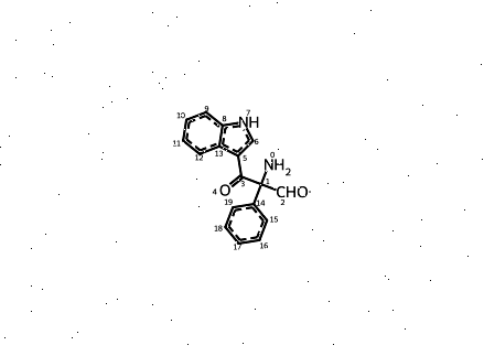 NC([C]=O)(C(=O)c1c[nH]c2ccccc12)c1ccccc1